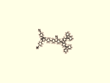 N#Cc1ccc(-c2cc(-c3ccc(-c4ccc(-c5ccc(-n6c7ccc(-n8c9ccccc9c9ccccc98)cc7c7cc(-n8c9ccccc9c9ccccc98)ccc76)cc5C#N)cc4)cc3)nc(-c3ccc(C#N)cc3)n2)cc1